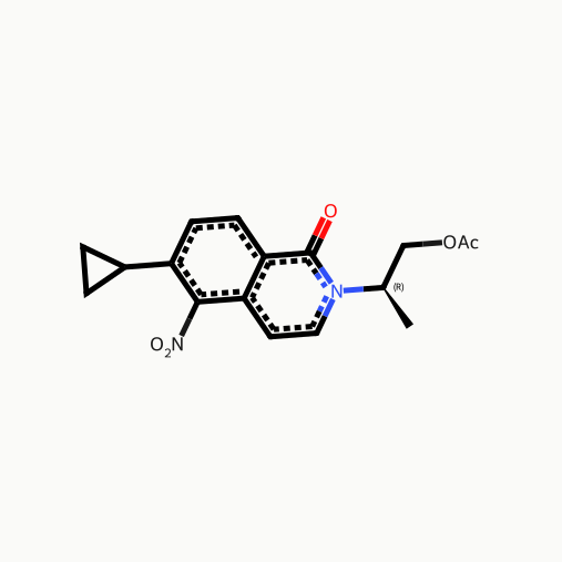 CC(=O)OC[C@@H](C)n1ccc2c([N+](=O)[O-])c(C3CC3)ccc2c1=O